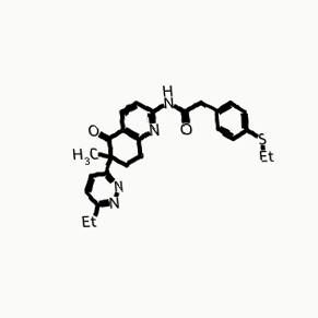 CCSc1ccc(CC(=O)Nc2ccc3c(n2)CCC(C)(c2ccc(CC)nn2)C3=O)cc1